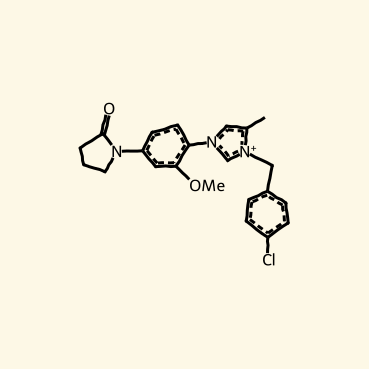 COc1cc(N2CCCC2=O)ccc1-n1cc(C)[n+](Cc2ccc(Cl)cc2)c1